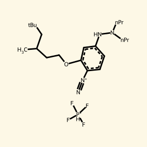 CCCN(CCC)Nc1ccc([N+]#N)c(OCCC(C)CC(C)(C)C)c1.F[PH-](F)(F)F